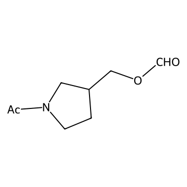 CC(=O)N1CCC(COC=O)C1